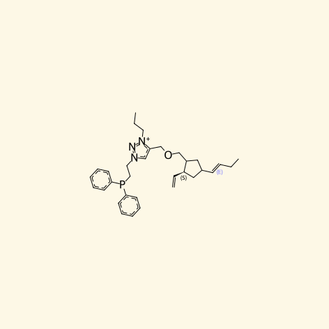 C=C[C@@H]1CC(/C=C/CC)CC1COCc1cn(CCP(c2ccccc2)c2ccccc2)n[n+]1CCC